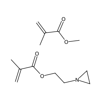 C=C(C)C(=O)OC.C=C(C)C(=O)OCCN1CC1